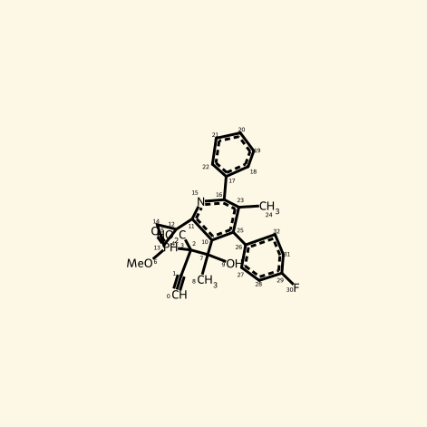 C#CC(C(=O)O)([PH](=O)OC)C(C)(O)c1c(C2CC2)nc(-c2ccccc2)c(C)c1-c1ccc(F)cc1